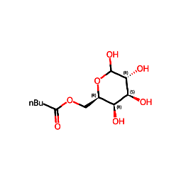 CCCCC(=O)OC[C@H]1OC(O)[C@H](O)[C@@H](O)[C@H]1O